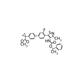 COC(=O)C1(c2ccc(-c3ccc(-c4snc(C)c4NC(=O)O[C@H](C)c4ccccc4)c(F)c3)cc2)CC1